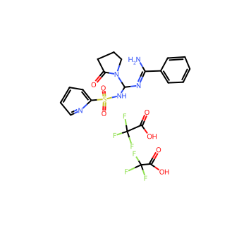 NC(=NC(NS(=O)(=O)c1ccccn1)N1CCCC1=O)c1ccccc1.O=C(O)C(F)(F)F.O=C(O)C(F)(F)F